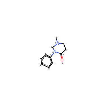 CN1CCC(=O)N(c2ccccc2)C1